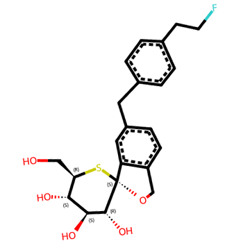 OC[C@H]1S[C@]2(OCc3ccc(Cc4ccc(CCF)cc4)cc32)[C@H](O)[C@@H](O)[C@@H]1O